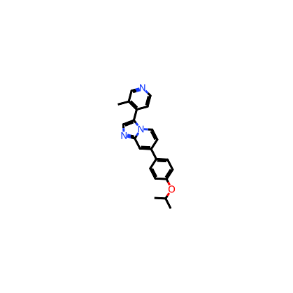 Cc1cnccc1-c1cnc2cc(-c3ccc(OC(C)C)cc3)ccn12